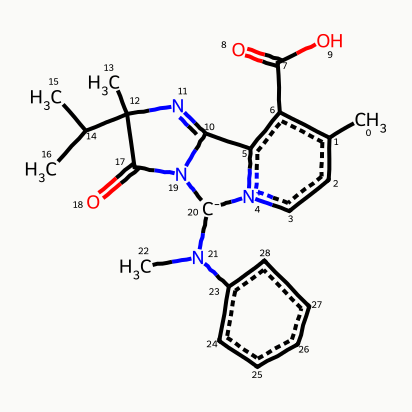 Cc1cc[n+]2c(c1C(=O)O)C1=NC(C)(C(C)C)C(=O)N1[C-]2N(C)c1ccccc1